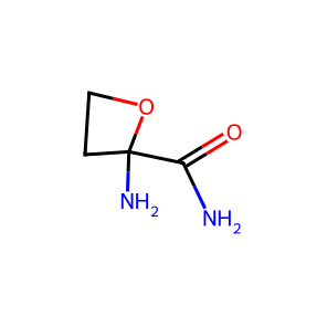 NC(=O)C1(N)CCO1